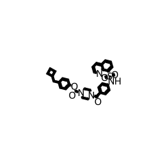 O=C(Oc1ccc(CC2CCC2)cc1)N1CCN(C(=O)c2ccc(NS(=O)(=O)c3cccc4cccnc34)cc2)CC1